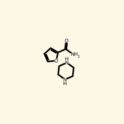 C1CNCCN1.NC(=O)c1ccco1